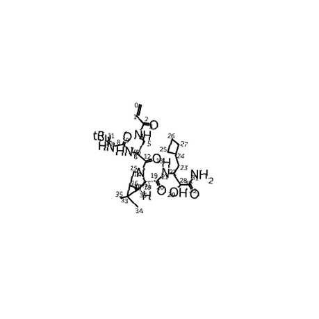 C=CC(=O)NC[C@H](NC(=O)NC(C)(C)C)C(=O)N1CC2[C@@H]([C@H]1C(=O)NC(CC1CCC1)C(O)C(N)=O)C2(C)C